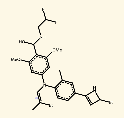 CC/C(C)=C\N(c1cc(OC)c(C(O)NCC(F)F)c(OC)c1)c1ccc(C2=CC(CC)N2)cc1C